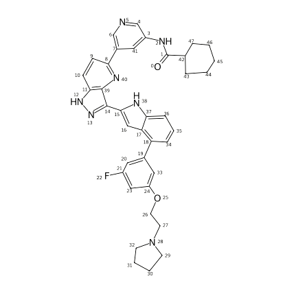 O=C(Nc1cncc(-c2ccc3[nH]nc(-c4cc5c(-c6cc(F)cc(OCCN7CCCC7)c6)cccc5[nH]4)c3n2)c1)C1CCCCC1